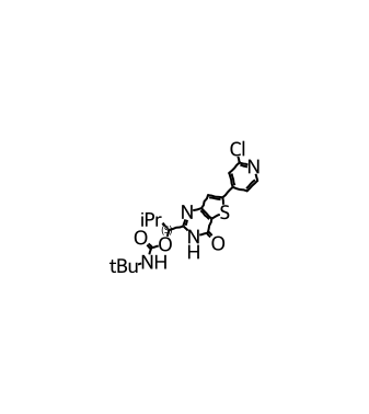 CC(C)[C@H](OC(=O)NC(C)(C)C)c1nc2cc(-c3ccnc(Cl)c3)sc2c(=O)[nH]1